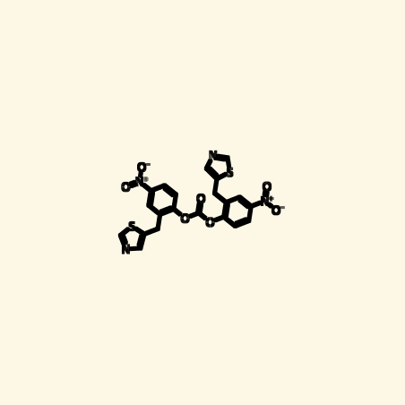 O=C(Oc1ccc([N+](=O)[O-])cc1Cc1cncs1)Oc1ccc([N+](=O)[O-])cc1Cc1cncs1